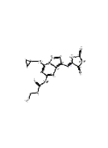 CCOC(=O)Nc1cc(NC2CC2)n2ncc(/C=C3\NC(=O)NC3=O)c2n1